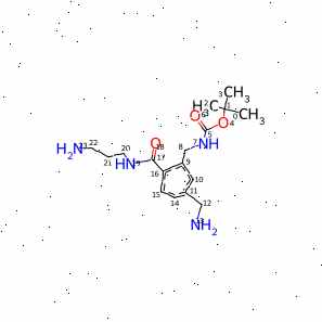 CC(C)(C)OC(=O)NCc1cc(CN)ccc1C(=O)NCCCN